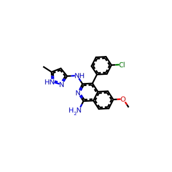 COc1ccc2c(N)nc(Nc3cc(C)[nH]n3)c(-c3cccc(Cl)c3)c2c1